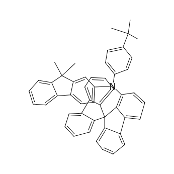 CC(C)(C)c1ccc(N(c2ccc3c(c2)C(C)(C)c2ccccc2-3)c2cccc3c2C2(c4ccccc4-c4ccccc42)c2ccccc2-3)cc1